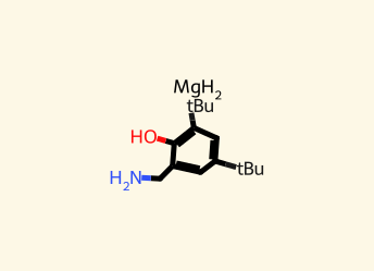 CC(C)(C)c1cc(CN)c(O)c(C(C)(C)C)c1.[MgH2]